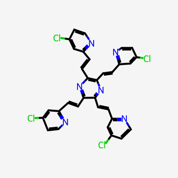 Clc1ccnc(C=Cc2nc(C=Cc3cc(Cl)ccn3)c(C=Cc3cc(Cl)ccn3)nc2C=Cc2cc(Cl)ccn2)c1